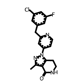 Cc1nn(-c2ccnc(Cc3cc(F)cc(Cl)c3)c2)c2c1C(=O)NCC2